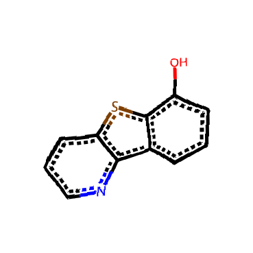 Oc1cccc2c1sc1cccnc12